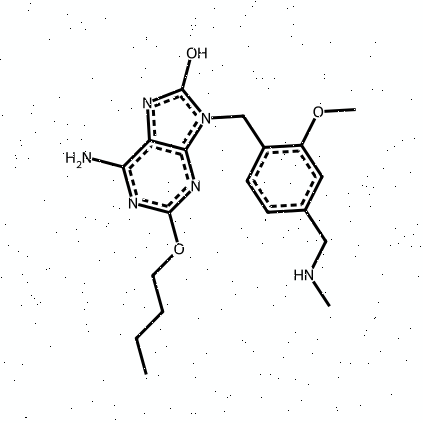 CCCCOc1nc(N)c2nc(O)n(Cc3ccc(CNC)cc3OC)c2n1